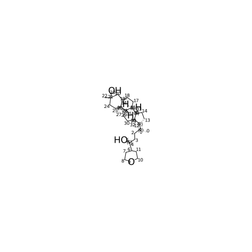 C[C@H](CC[C@H](O)C1CCOCC1)[C@H]1CC[C@H]2[C@@H]3CC=C4CC(C)(O)CC[C@]4(C)[C@H]3CC[C@]12C